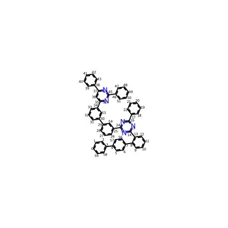 c1ccc(-c2ccc(-c3ccccc3-c3nc(-c4ccccc4)nc(-c4cccc(-c5cccc(-c6cc(-c7ccccc7)nc(-c7ccccc7)n6)c5)c4)n3)cc2)cc1